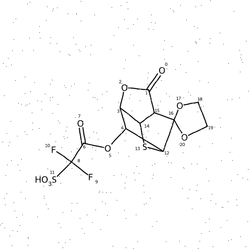 O=C1OC2C(OC(=O)C(F)(F)S(=O)(=O)O)C3SC2C1C31OCCO1